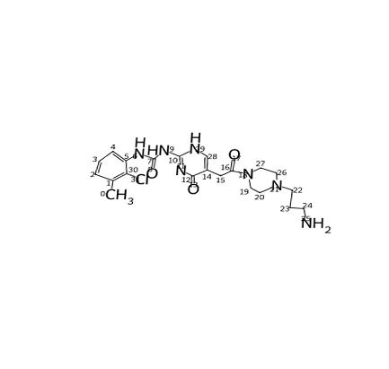 Cc1cccc(NC(=O)Nc2nc(=O)c(CC(=O)N3CCN(CCCN)CC3)c[nH]2)c1Cl